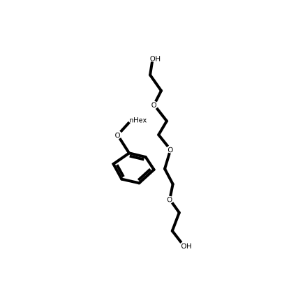 CCCCCCOc1ccccc1.OCCOCCOCCOCCO